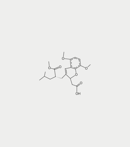 COC(=O)[C@H](CC1=Cc2c(OC)ccc(OC)c2OC1CC(=O)O)CC(C)C